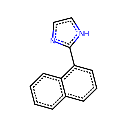 c1ccc2c(-c3ncc[nH]3)cccc2c1